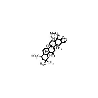 COO[C@]1(C)c2oncc2C[C@]2(C)C3=CC(=O)[C@@H]4[C@@H]5CC(C)(C)C[C@@H](C(=O)O)C5CC[C@@]4(C)[C@]3(C)CC[C@H]21